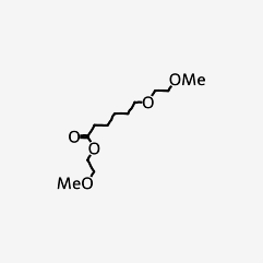 COCCOCCCCCC(=O)OCCOC